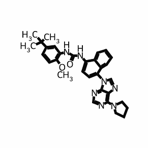 COc1ccc(C(C)(C)C)cc1NC(=O)Nc1ccc(-n2cnc3c(N4CCCC4)ncnc32)c2ccccc12